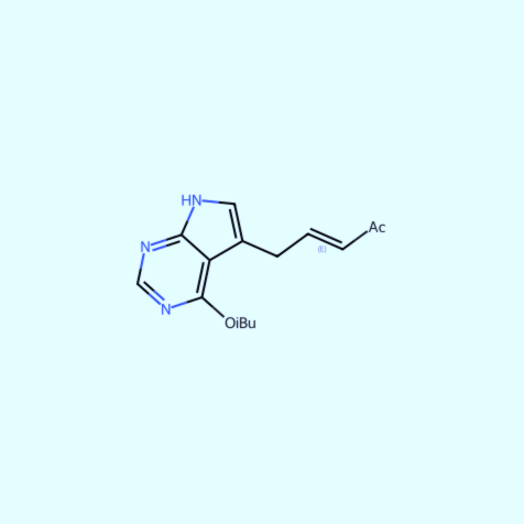 CC(=O)/C=C/Cc1c[nH]c2ncnc(OCC(C)C)c12